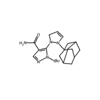 CC(C)(C)n1ncc(C(N)=O)c1N1CC=CN1C12CC3CC(CC(C3)C1)C2